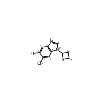 Clc1cc2c(cc1I)ncn2C1CCC1